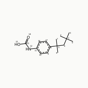 CC(C)(C)CC(C)(C)c1ccc(NC(=O)O)cc1